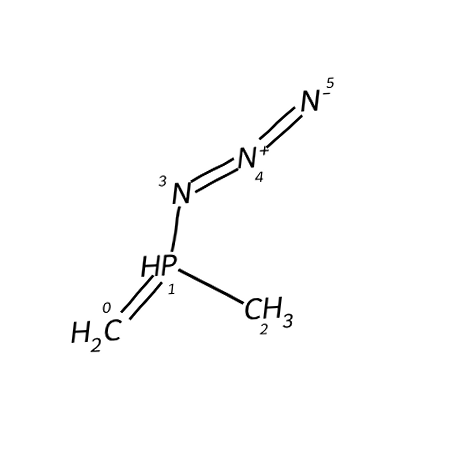 C=[PH](C)N=[N+]=[N-]